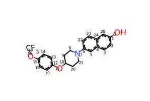 Oc1ccc2cc(N3CCC(Oc4ccc(OC(F)(F)F)cc4)CC3)ccc2c1